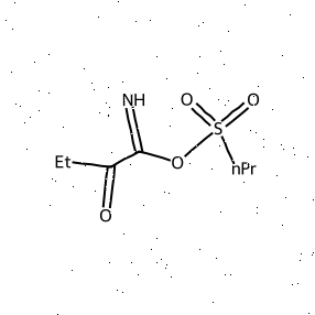 CCCS(=O)(=O)OC(=N)C(=O)CC